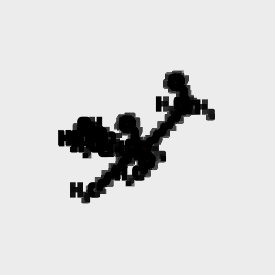 C=C(C)C(=O)[O-].C=C(C)C(=O)[O-].C=Cc1ccccc1.CCCCCCCCCCCC[N+](C)(C)CC=Cc1ccccc1.CCCCCCCCCCCC[N+](C)(C)CC=Cc1ccccc1.OCCO